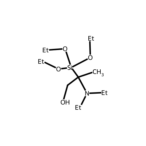 CCO[Si](OCC)(OCC)C(C)(CO)N(CC)CC